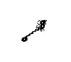 O=C(CCCCCCCCc1ccccc1)Nc1ccc2o[c]cc(=O)c2c1